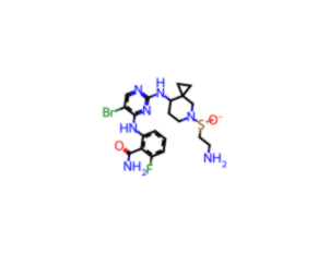 NCC[S+]([O-])N1CCC(Nc2ncc(Br)c(Nc3cccc(F)c3C(N)=O)n2)C2(CC2)C1